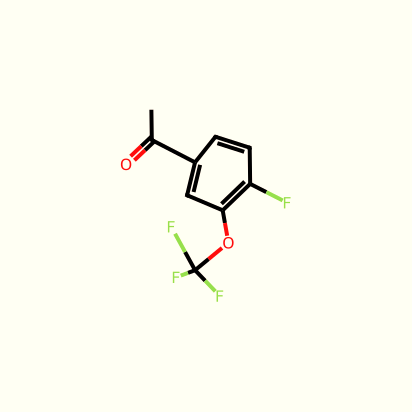 CC(=O)c1ccc(F)c(OC(F)(F)F)c1